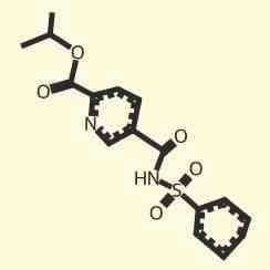 CC(C)OC(=O)c1ccc(C(=O)NS(=O)(=O)c2ccccc2)cn1